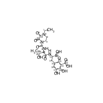 CCN1CCN(C(=O)N[C@@H](C(=O)NC2Cc3cc(O)c(O)c(C(=O)O)c3OB2O)[C@@H](C)O)C(=O)C1=O